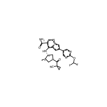 C[C@@H]1CN(C(=O)C2(C#N)CC2)C[C@H]1Nc1c(C(N)=O)cnn2cc(-c3cnc(OC(F)F)nc3)cc12